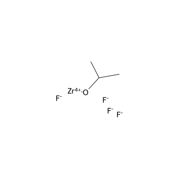 CC(C)[O][Zr+4].[F-].[F-].[F-].[F-]